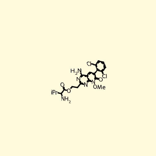 COn1c(=O)c(-c2c(Cl)cccc2Cl)cc2c(N)nc(CCOC(=O)C(N)C(C)C)nc21